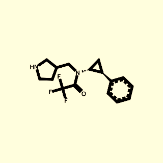 O=C(N(CC1CCNC1)[C@@H]1C[C@H]1c1ccccc1)C(F)(F)F